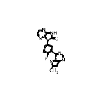 Cc1cc2ncnc(-c3cc(C4C(=O)Nc5nccnc54)ccc3F)c2s1